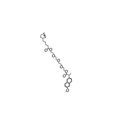 COc1ccc2cc(C(C)C(=O)OCCOCCOCCOCCOC(=O)CCCCC3CCSS3)ccc2c1